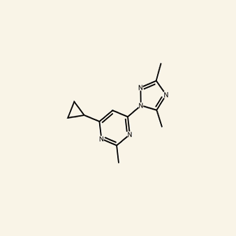 Cc1nc(C2CC2)cc(-n2nc(C)nc2C)n1